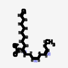 CC/C=C\C/C=C\C/C=C(\CCCCCCC[C]=O)[N+](=O)[O-]